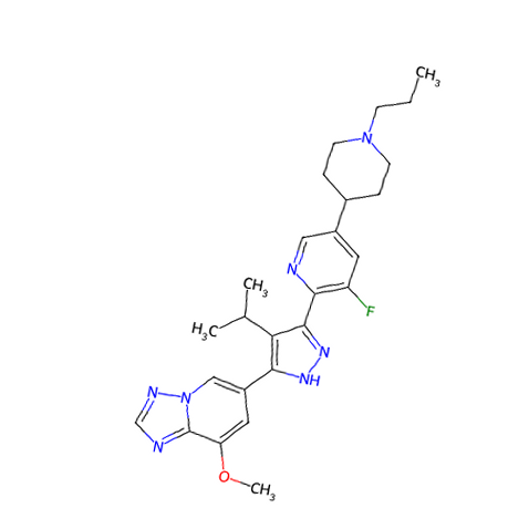 CCCN1CCC(c2cnc(-c3n[nH]c(-c4cc(OC)c5ncnn5c4)c3C(C)C)c(F)c2)CC1